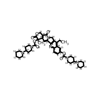 CCc1c2c(nc3ccc(OC(=O)N4CCC(N5CCCCC5)CC4)cc13)-c1cc3c(c(=O)n1C2)COC(=O)[C@@]3(C)OC(=O)N1CCC(N2CCCCC2)CC1